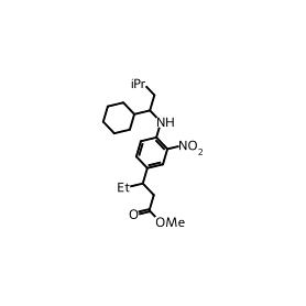 CCC(CC(=O)OC)c1ccc(NC(CC(C)C)C2CCCCC2)c([N+](=O)[O-])c1